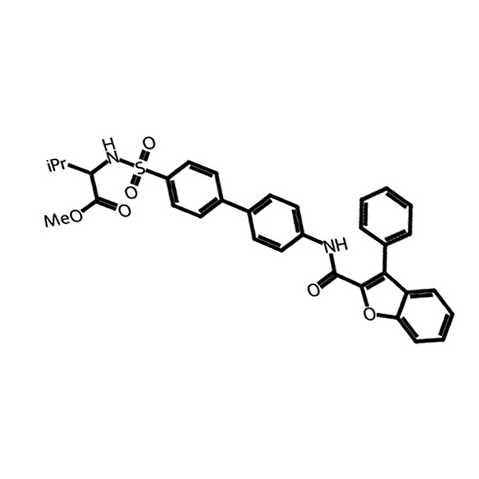 COC(=O)C(NS(=O)(=O)c1ccc(-c2ccc(NC(=O)c3oc4ccccc4c3-c3ccccc3)cc2)cc1)C(C)C